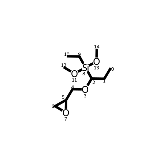 [CH2]CC(OCC1CO1)[Si](CC)(OC)OC